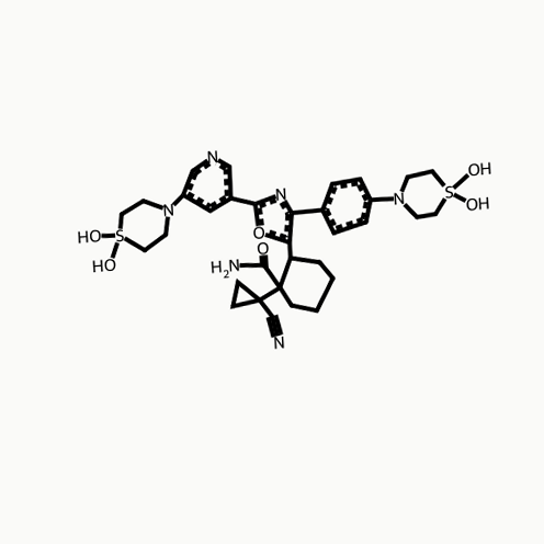 N#CC1(C2(C(N)=O)CCCCC2c2oc(-c3cncc(N4CCS(O)(O)CC4)c3)nc2-c2ccc(N3CCS(O)(O)CC3)cc2)CC1